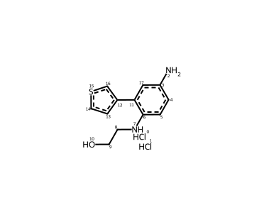 Cl.Cl.Nc1ccc(NCCO)c(-c2ccsc2)c1